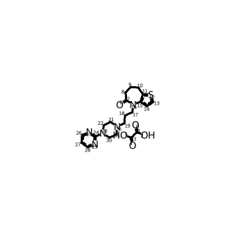 O=C(O)C(=O)O.O=C1CCCc2sccc2N1CCCN1CCN(c2ncccn2)CC1